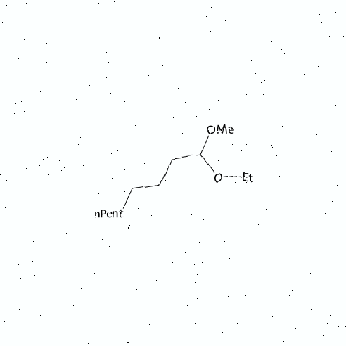 CCCCCCCCC(OC)OCC